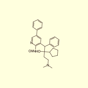 COc1ncc(-c2ccccc2)cc1C(c1ccccc1)C(O)(CCN(C)C)C1CCCC1